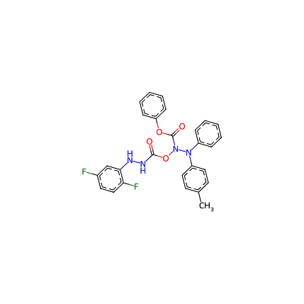 Cc1ccc(N(c2ccccc2)N(OC(=O)NNc2cc(F)ccc2F)C(=O)Oc2ccccc2)cc1